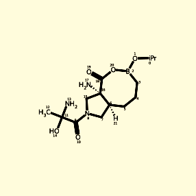 CC(C)OB1CCC[C@H]2CN(C(=O)C(C)(N)O)C[C@@]2(N)C(=O)O1